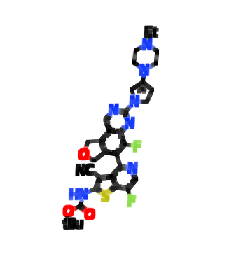 CCN1CCN([C@H]2CCN(c3ncc4c5c(c(-c6ncc(F)c7sc(NC(=O)OC(C)(C)C)c(C#N)c67)c(F)c4n3)COC5)C2)CC1